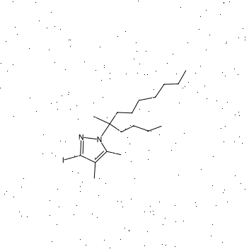 CCCCCCCC(C)(CCCC)n1nc(I)c(C)c1C